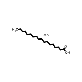 CCCCCCCCC=CCCCCCCCC(=O)O.[Mo]